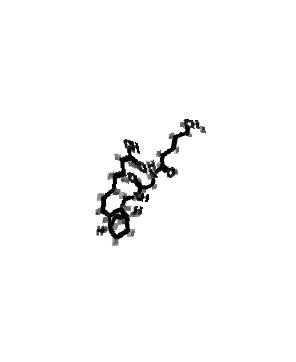 CCCCCC(=O)NCC(=O)NC[C@H]1[C@H]2CC[C@H](C2)[C@H]1/C=C\CCCCC(=O)O